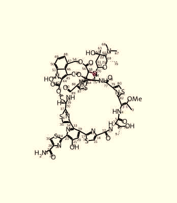 CO/C(C)=C1/NC(=O)[C@H]([C@@H](C)O)NC(=O)c2csc(n2)-c2cc(O)c(-c3nc(C(N)=O)cs3)nc2-c2csc(n2)[C@@H]2COC(=O)c3c4c5c(cccc5n3O)COC(=O)[C@@H](O[C@H]3C[C@](C)(O)[C@H](N(C)C)[C@H](C)O3)[C@@H](OC4)[C@H](NC(=O)c3csc1n3)c1nc(cs1)C(=O)N2